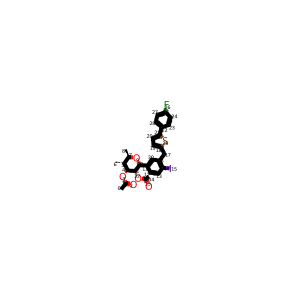 CC(=O)O[C@H]1[C@H](C)[C@@H](C)OC(c2ccc(I)c(Cc3ccc(-c4ccc(F)cc4)s3)c2)[C@@H]1OC(C)=O